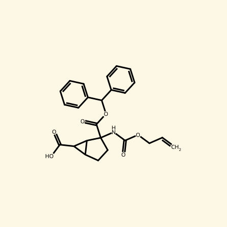 C=CCOC(=O)NC1(C(=O)OC(c2ccccc2)c2ccccc2)CCC2C(C(=O)O)C21